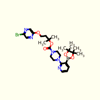 CC(C)(CCOc1cnc(Br)cn1)OC(=O)N1CCN(c2ncccc2B2OC(C)(C)C(C)(C)O2)CC1